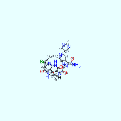 Cc1ncc(-c2cc3c(C(N)=O)nn4c3c(n2)CCCCCCC(=O)NC[C@@]23C[C@@H](C(=O)Nc5nc(Br)ccc5C)N(C(=O)C4)[C@@H]2C3)cn1